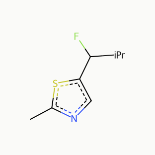 Cc1ncc(C(F)C(C)C)s1